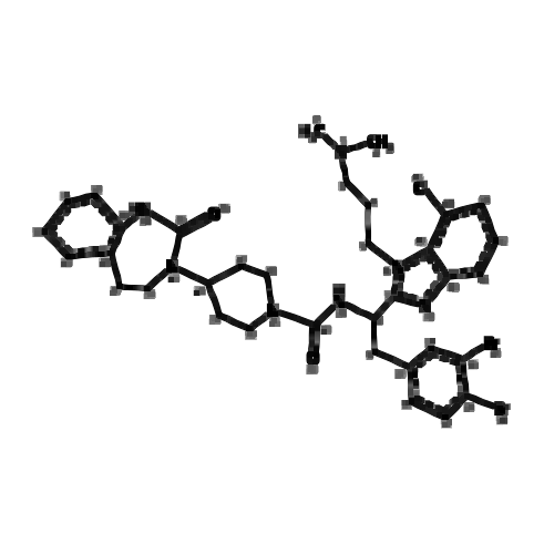 CN(C)CCCn1c(C(Cc2ccc(Br)c(Br)c2)NC(=O)N2CCC(N3CCc4ccccc4NC3=O)CC2)nc2cccc(Cl)c21